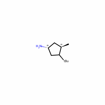 C[C@@H]1C[C@@H](N)CC1C(C)(C)C